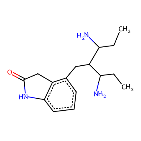 CCC(N)C(Cc1cccc2c1CC(=O)N2)C(N)CC